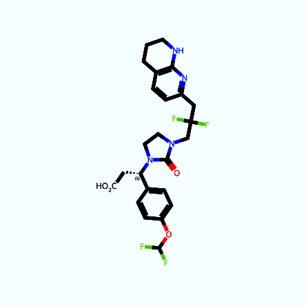 O=C(O)C[C@@H](c1ccc(OC(F)F)cc1)N1CCN(CC(F)(F)Cc2ccc3c(n2)NCCC3)C1=O